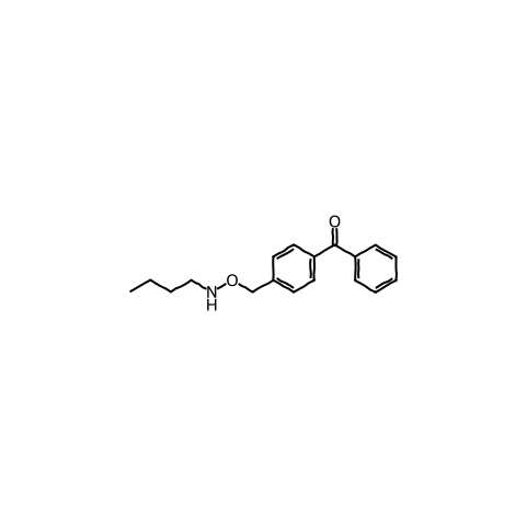 CCCCNOCc1ccc(C(=O)c2ccccc2)cc1